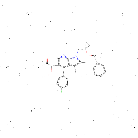 COC(=O)C(OC(C)(C)C)c1c(C)nc2c(c(C)c(C)n2CC2(OCc3ccccc3)CC2)c1-c1ccc(Cl)cc1